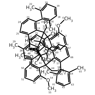 COc1cccc(OC)c1C(CP)(c1c(-c2c(C)cccc2C)cccc1-c1c(C)cccc1C)C(C)(C)C(=O)C(C)(C)C(CP)(c1c(OC)cccc1OC)c1c(-c2c(C)cccc2C)cccc1-c1c(C)cccc1C